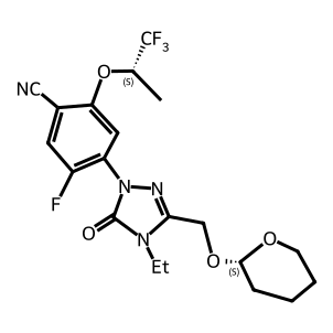 CCn1c(CO[C@H]2CCCCO2)nn(-c2cc(O[C@@H](C)C(F)(F)F)c(C#N)cc2F)c1=O